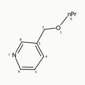 CCCOCc1cccnc1